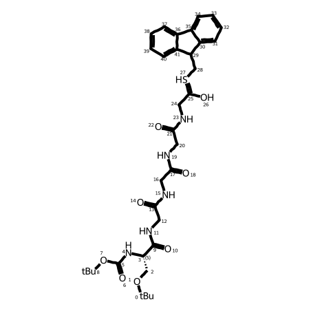 CC(C)(C)OC[C@H](NC(=O)OC(C)(C)C)C(=O)NCC(=O)NCC(=O)NCC(=O)NCC(O)=[SH]CC1c2ccccc2-c2ccccc21